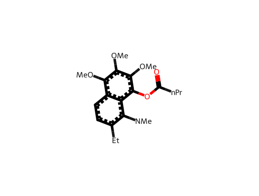 CCCC(=O)Oc1c(OC)c(OC)c(OC)c2ccc(CC)c(NC)c12